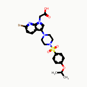 CC(C)Oc1ccc(S(=O)(=O)N2CCN(c3cn(CC(=O)O)c4nc(Br)ccc34)CC2)cc1